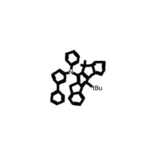 CC(C)(C)c1c2c(c(N(c3ccccc3)c3cccc(-c4ccccc4)c3)c3c1-c1ccccc1C3(C)C)Cc1ccccc1-2